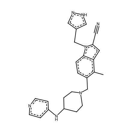 Cc1c(CN2CCC(Nc3ccncc3)CC2)ccc2c1cc(C#N)n2Cc1cn[nH]c1